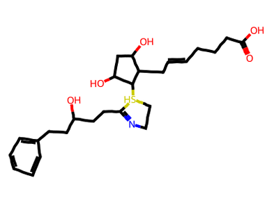 O=C(O)CCCC=CCC1C(O)CC(O)C1[SH]1CCN=C1CCC(O)CCc1ccccc1